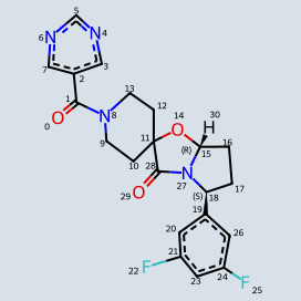 O=C(c1cncnc1)N1CCC2(CC1)O[C@@H]1CC[C@@H](c3cc(F)cc(F)c3)N1C2=O